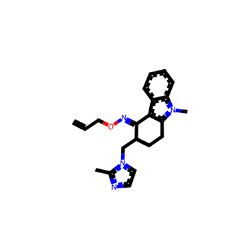 C=CCON=C1c2c(n(C)c3ccccc23)CCC1Cn1ccnc1C